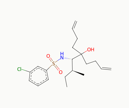 C=CCCC(O)(CCC=C)[C@@H](NS(=O)(=O)c1cccc(Cl)c1)[C@@H](C)CC